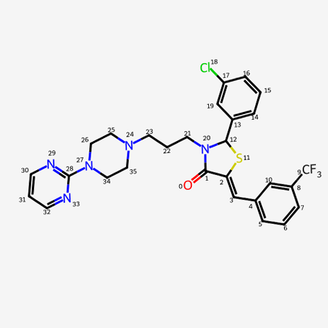 O=C1C(=Cc2cccc(C(F)(F)F)c2)SC(c2cccc(Cl)c2)N1CCCN1CCN(c2ncccn2)CC1